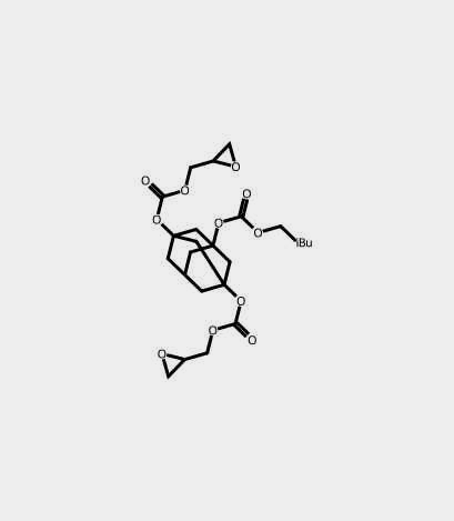 CCC(C)COC(=O)OC12CC3CC(OC(=O)OCC4CO4)(C1)CC(OC(=O)OCC1CO1)(C3)C2